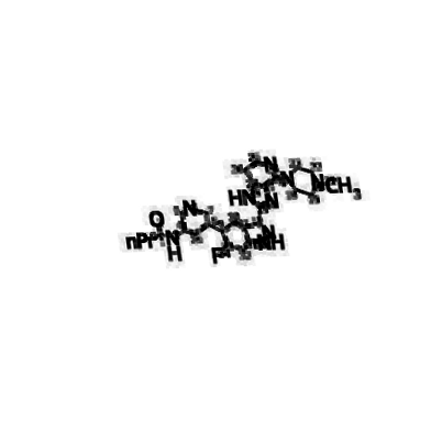 CCCC(=O)Nc1cncc(-c2cc3c(-c4nc5c(N6CCN(C)CC6)nccc5[nH]4)n[nH]c3cc2F)c1